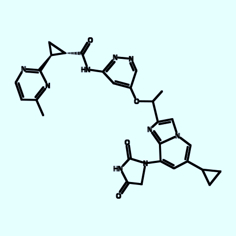 Cc1ccnc([C@H]2C[C@@H]2C(=O)Nc2cc(OC(C)c3cn4cc(C5CC5)cc(N5CC(=O)NC5=O)c4n3)cnn2)n1